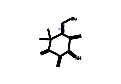 C=C1C(=C)C(C)(C)/C(=C/C(C)(C)C)C(=C)C1=N